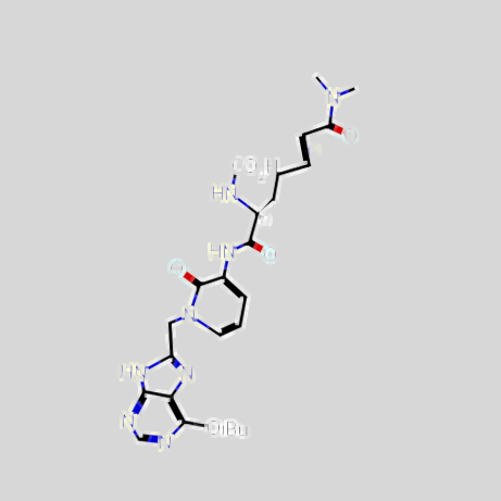 CC(C)COc1ncnc2[nH]c(Cn3cccc(NC(=O)[C@H](CC/C=C/C(=O)N(C)C)NC(=O)O)c3=O)nc12